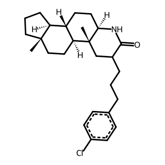 C[C@@]12CCC[C@H]1[C@@H]1CC[C@H]3NC(=O)C(CCCc4ccc(Cl)cc4)C[C@]3(C)[C@H]1CC2